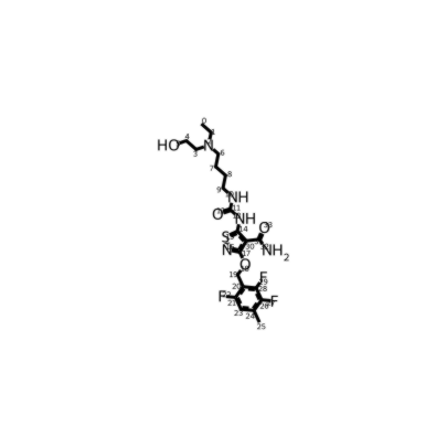 CCN(CCO)CCCCNC(=O)Nc1snc(OCc2c(F)cc(C)c(F)c2F)c1C(N)=O